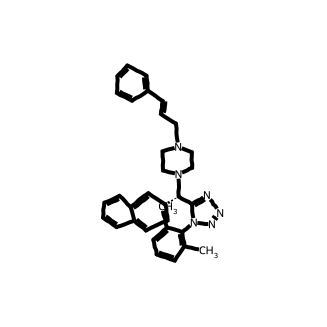 Cc1cccc(C)c1-n1nnnc1[C@H](C1C=c2ccccc2=CC1)N1CCN(C/C=C/c2ccccc2)CC1